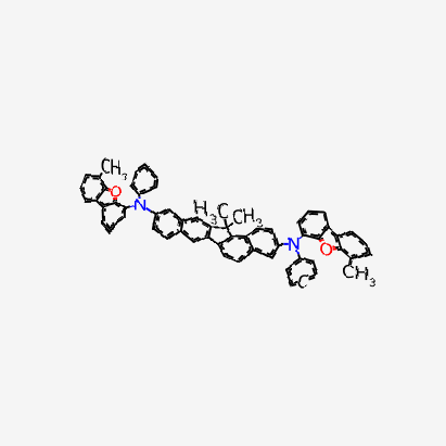 Cc1cccc2c1oc1c(N(c3ccccc3)c3ccc4cc5c(cc4c3)C(C)(C)c3c-5ccc4cc(N(c5ccccc5)c5cccc6c5oc5c(C)cccc56)ccc34)cccc12